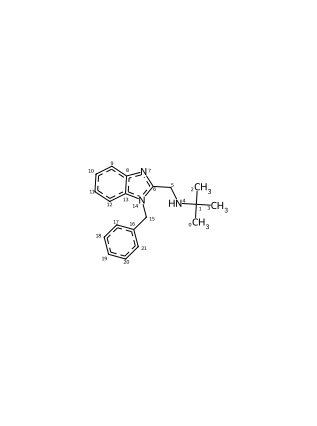 CC(C)(C)NCc1nc2ccccc2n1Cc1ccccc1